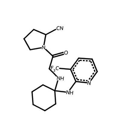 N#CC1CCCN1C(=O)CNC1(Nc2ncccc2C(F)(F)F)CCCCC1